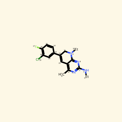 CCNc1nc(C)c2c(n1)N(CC)CC(c1ccc(F)c(Cl)c1)=C2